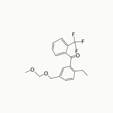 CCc1ccc(COCOC)cc1C(=O)c1ccccc1C(F)(F)F